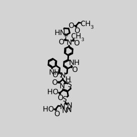 CCC(=O)OC1CN[C@H](C(=O)N(C(C)=O)c2ccc(-c3ccc(CN(C(=O)Cc4ccccc4N)C4C(=O)N5C(C(=O)O)=C(CSc6nnnn6CC(=O)O)CS[C@@H]45)c(=O)[nH]3)cc2)C1